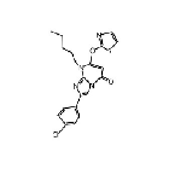 CCCCCn1c(Oc2nccs2)cc(=O)n2cc(-c3ccc(Cl)cc3)nc12